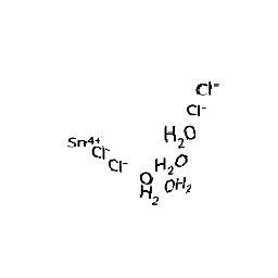 O.O.O.O.[Cl-].[Cl-].[Cl-].[Cl-].[Sn+4]